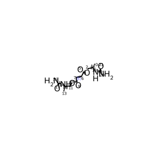 C[C@H](COC(=O)/C=C/C(=O)OC[C@@H](C)NC(N)=O)NC(N)=O